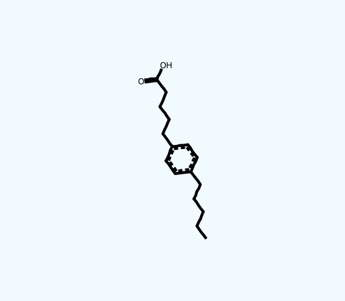 CCCCCc1ccc(CCCCC(=O)O)cc1